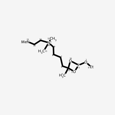 CCOP1OC(C)(CCCC[N+](C)(C)CCNC)O1